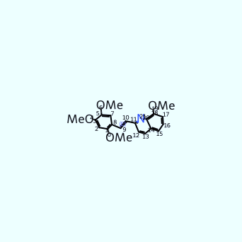 COc1cc(OC)c(OC)cc1/C=C/c1ccc2cccc(OC)c2n1